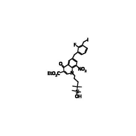 CCOC(=O)c1cn(CCCC(C)(C)[Si](C)(C)O)c2c([N+](=O)[O-])cc(Cc3cccc(CI)c3F)cc2c1=O